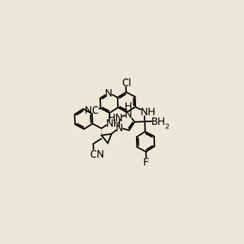 BC(Nc1cc(Cl)c2ncc(C#N)c(N[C@H](CCC#N)c3ccccc3)c2c1)(C1=CN(C2CC2)NN1)c1ccc(F)cc1